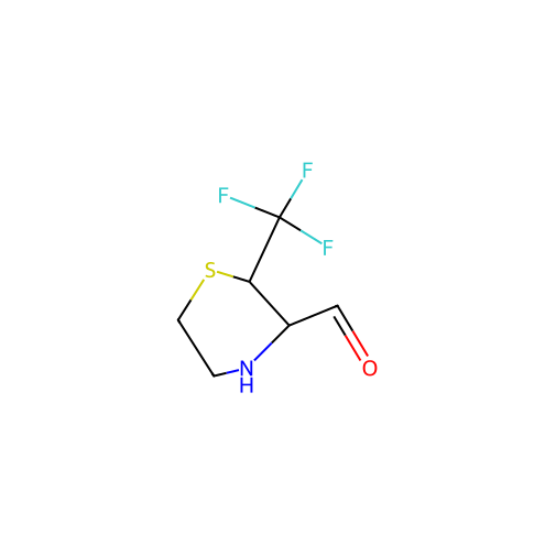 O=CC1NCCSC1C(F)(F)F